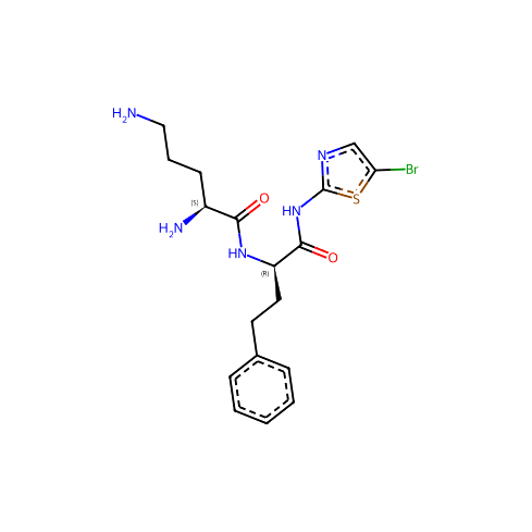 NCCC[C@H](N)C(=O)N[C@H](CCc1ccccc1)C(=O)Nc1ncc(Br)s1